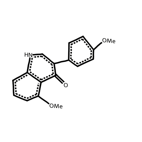 COc1ccc(-c2c[nH]c3cccc(OC)c3c2=O)cc1